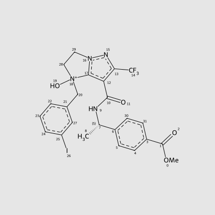 COC(=O)c1ccc([C@H](C)NC(=O)c2c(C(F)(F)F)nn3c2[N+](O)(Cc2cccc(I)c2)CC3)cc1